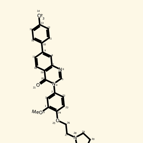 COc1cc(-n2cnc3cc(-c4ccc(C(F)(F)F)cc4)ccc3c2=O)ccc1OCCN1CCCC1